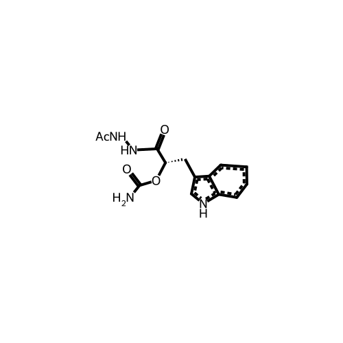 CC(=O)NNC(=O)[C@H](Cc1c[nH]c2ccccc12)OC(N)=O